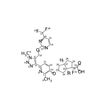 Cc1nc(-c2nnn(C)c2COc2nccc(C(F)F)n2)ccc1O[C@@H]1C[C@H]2CC[C@@](F)(C(=O)O)[C@H]2C1